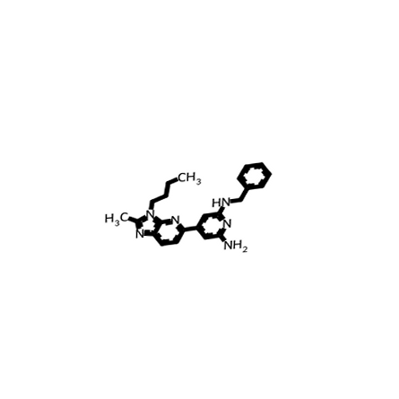 CCCCn1c(C)nc2ccc(-c3cc(N)nc(NCc4ccccc4)c3)nc21